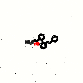 O=C(O)C=Cc1ccccc1-c1c(O)cccc1C=Cc1ccccc1